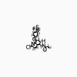 C=CC(=O)NCc1ccc(Oc2ccc(C(F)(F)F)cc2)c2nc(Cl)ccc12